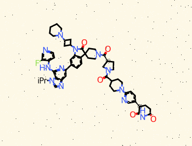 CC(C)n1cnc2cc(-c3ccc4c(c3)N(C3CC(N5CCCCC5)C3)C(=O)C43CCN(C(=O)[C@H]4CCN(C(=O)C5CCN(c6ccc([C@H]7CCC(=O)NC7=O)cn6)CC5)C4)CC3)nc(Nc3ccncc3F)c21